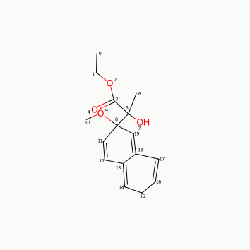 CCOC(=O)C(C)(O)C1(OC)C=CC2=CCC=CC2=C1